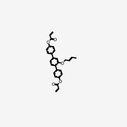 C=CC(=O)Oc1ccc(-c2ccc(-c3ccc(OC(=O)C=C)cc3)c(OC/C=C/C)c2)cc1